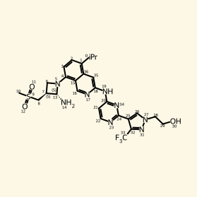 CC(C)c1ccc(N2C[C@H](CS(C)(=O)=O)[C@H]2N)c2cnc(Nc3ccnc(-c4cn(CCO)nc4C(F)(F)F)n3)cc12